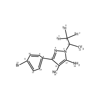 [2H]C([2H])([2H])C(n1nc(-c2ccc(Br)cc2)c(C#N)c1N)C(F)(F)F